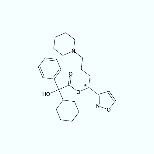 O=C(O[C@H](CCCN1CCCCC1)c1ccon1)C(O)(c1ccccc1)C1CCCCC1